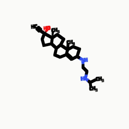 C#C[C@]1(O)CCC2C3CCC4=CC(NCCNC(C)C)CCC4(C)C3CC[C@@]21C